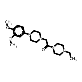 CCN1CCN(C(=O)CN2CCN(c3ccc(OC)c(OC)c3)CC2)CC1